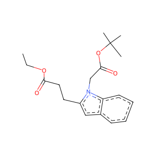 CCOC(=O)CCc1cc2ccccc2n1CC(=O)OC(C)(C)C